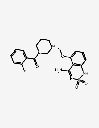 NC1=NS(=O)(=O)Nc2cccc(OC[C@H]3CCCN(C(=O)c4ccccc4F)C3)c21